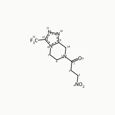 O=C(CC[N+](=O)[O-])N1CCn2c(nnc2C(F)(F)F)C1